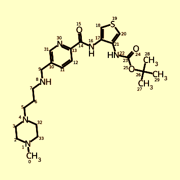 CN1CCN(CCCNCc2ccc(C(=O)Nc3cscc3NC(=O)OC(C)(C)C)nc2)CC1